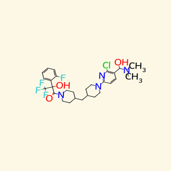 CN(C)C(O)c1ccc(N2CCC(CC3CCN(C(=O)C(O)(c4ccccc4F)C(F)(F)F)CC3)CC2)nc1Cl